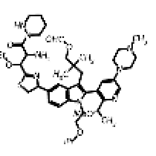 CCO[C@H](C1=NC(c2ccc3c(c2)c(CC(C)(C)COC=O)c(-c2cc(N4CCN(C)CC4)cnc2[C@H](C)OC)n3CCOC(C)C)CS1)[C@H](N)C(=O)N1CCCCN1